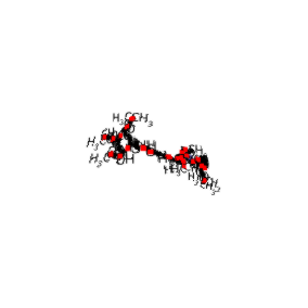 COc1cccc(OC)c1/C(=C/C(=N)C(=O)NC1(C2OC2OC(C)(C)C)C2CC3CC(C2)CC1C3)Nc1ccc(NCCOCCOCCNC(=O)CN2CCN(CC(=O)OCC(C)C)CCN(CC(=O)OCC(C)C)CCN(CC(O)OCC(C)C)CC2)cc1C(C)C